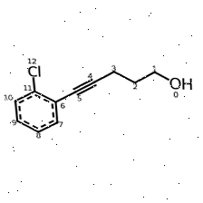 OCCCC#Cc1ccccc1Cl